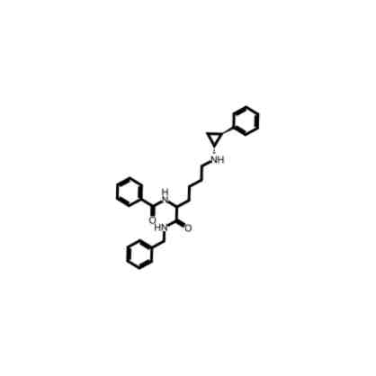 O=C(NC(CCCCN[C@@H]1C[C@H]1c1ccccc1)C(=O)NCc1ccccc1)c1ccccc1